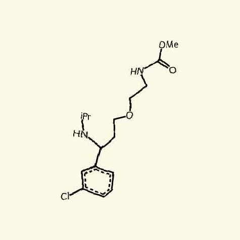 COC(=O)NCCOCCC(NC(C)C)c1cccc(Cl)c1